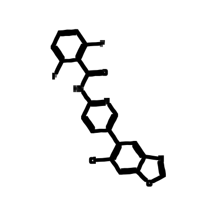 O=C(Nc1ccc(-c2cc3ncoc3cc2Cl)cn1)c1c(F)cccc1F